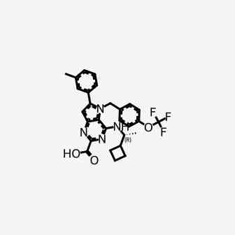 Cc1cccc(-c2cc3nc(C(=O)O)nc(N[C@H](C)C4CCC4)c3n2Cc2ccc(OC(F)(F)F)cc2)c1